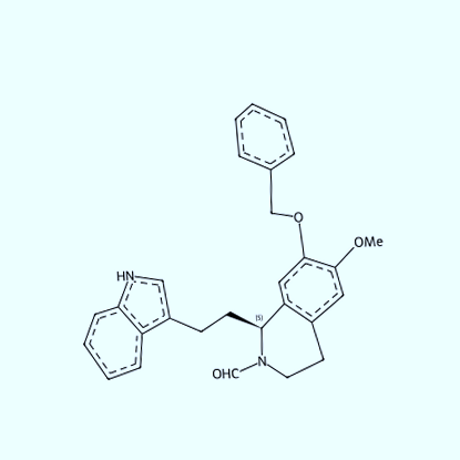 COc1cc2c(cc1OCc1ccccc1)[C@H](CCc1c[nH]c3ccccc13)N(C=O)CC2